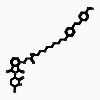 CNc1ccc(C=Cc2ccc(OCCOCCOCCNC(=O)COc3cccc4c3C(=O)N(C3CCC(=O)NC3=O)C4=O)cc2)cc1